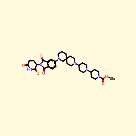 CC(C)(C)OC(=O)N1CCC(N2CCC(N3CCC4(CCCN(c5ccc6c(c5)C(=O)N(C5CCC(=O)NC5=O)C6=O)C4)CC3)CC2)CC1